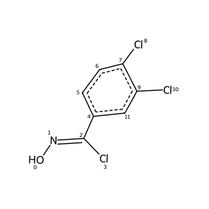 ON=C(Cl)c1ccc(Cl)c(Cl)c1